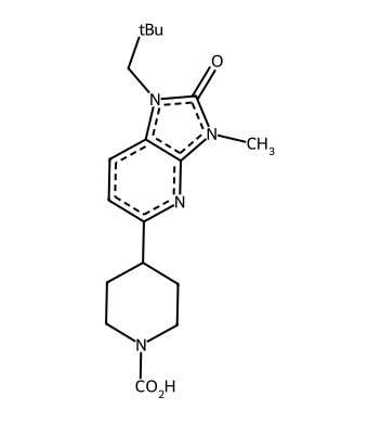 Cn1c(=O)n(CC(C)(C)C)c2ccc(C3CCN(C(=O)O)CC3)nc21